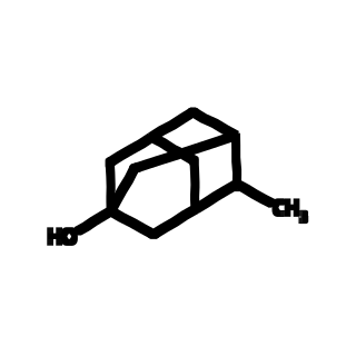 C[C]1C2CC3CC1CC(O)(C3)C2